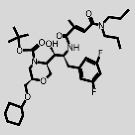 CCCN(CCC)C(=O)C=C(C)C(=O)N[C@@H](Cc1cc(F)cc(F)c1)[C@H](O)[C@H]1CO[C@@H](COC2CCCCC2)CN1C(=O)OC(C)(C)C